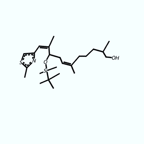 CC(=CCC(O[Si](C)(C)C(C)(C)C)C(C)=Cc1csc(C)n1)CCCC(C)CO